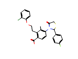 Cc1c(N2C(=O)CSC2c2ccc(F)cc2)ccc(C(=O)O)c1CCOc1ccccc1Cl